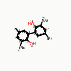 CCc1cc(-c2cc(C)cc(C(C)(C)C)c2O)c(O)c(C(C)(C)C)c1